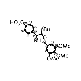 CCCCC(OCc1cc(OC)c(OC)c(OC)c1)C(N)c1ccc(C(=O)O)cc1